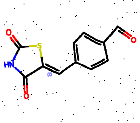 O=Cc1ccc(/C=C2\SC(=O)NC2=O)cc1